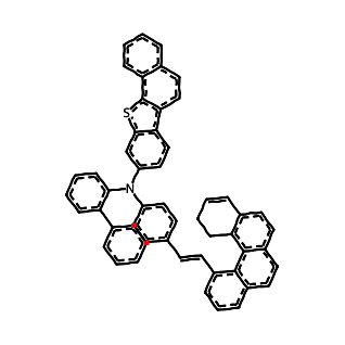 C1=Cc2ccc3ccc4cccc(C=Cc5ccc(N(c6ccc7c(c6)sc6c8ccccc8ccc76)c6ccccc6-c6ccccc6)cc5)c4c3c2CC1